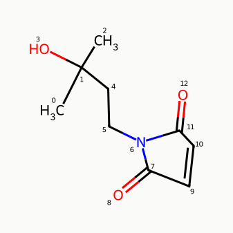 CC(C)(O)CCN1C(=O)C=CC1=O